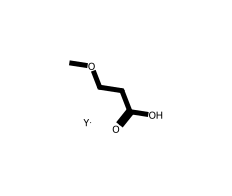 COCCC(=O)O.[Y]